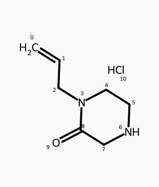 C=CCN1CCNCC1=O.Cl